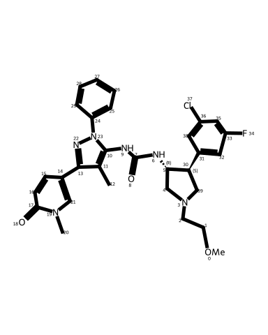 COCCN1C[C@H](NC(=O)Nc2c(C)c(-c3ccc(=O)n(C)c3)nn2-c2ccccc2)[C@@H](c2cc(F)cc(Cl)c2)C1